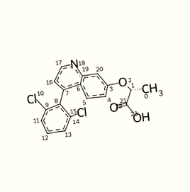 C[C@@H](Oc1ccc2c(-c3c(Cl)cccc3Cl)ccnc2c1)C(=O)O